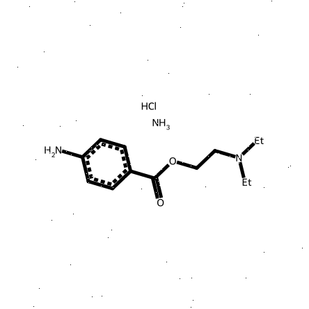 CCN(CC)CCOC(=O)c1ccc(N)cc1.Cl.N